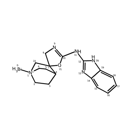 [BH3-][N+]12CCC(CC1)C1(CN=C(Nc3nc4ccccc4[nH]3)O1)C2